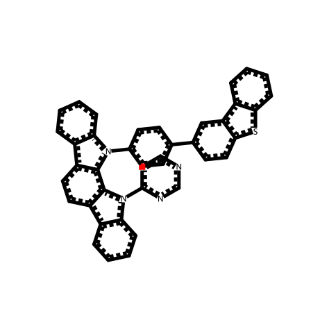 c1ccc2c(c1)sc1ccc(-c3ccc(-n4c5ccccc5c5ccc6c7ccccc7n(-c7ncncn7)c6c54)cc3)cc12